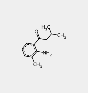 Cc1cccc(C(=O)CC(C)C)c1N